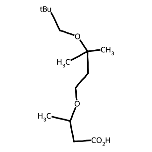 CC(CC(=O)O)OCCC(C)(C)OCC(C)(C)C